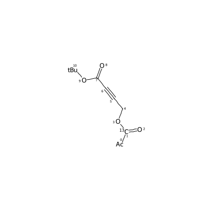 CC(=O)[13C](=O)OCC#CC(=O)OC(C)(C)C